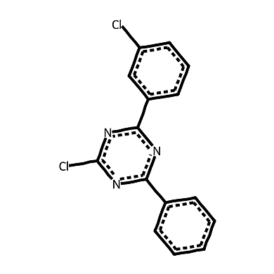 Clc1cccc(-c2nc(Cl)nc(-c3ccccc3)n2)c1